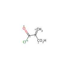 C=C(C(=O)O)C(=O)Cl